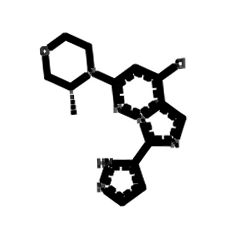 C[C@@H]1COCCN1c1cc(Cl)c2cnc(-c3ccn[nH]3)n2n1